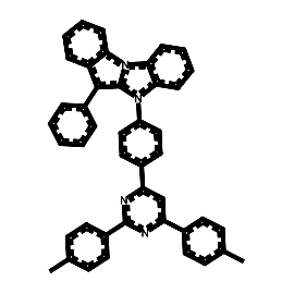 Cc1ccc(-c2cc(-c3ccc(-n4c5ccccc5n5c6ccccc6c(-c6ccccc6)c45)cc3)nc(-c3ccc(C)cc3)n2)cc1